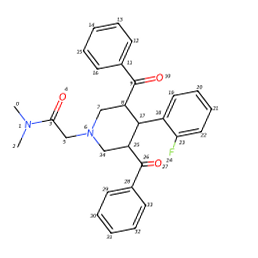 CN(C)C(=O)CN1CC(C(=O)c2ccccc2)C(c2ccccc2F)C(C(=O)c2ccccc2)C1